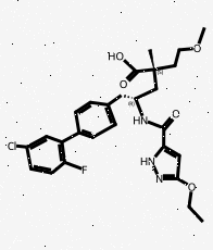 CCOc1cc(C(=O)N[C@H](Cc2ccc(-c3cc(Cl)ccc3F)cc2)C[C@@](C)(CCOC)C(=O)O)[nH]n1